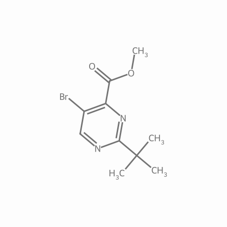 COC(=O)c1nc(C(C)(C)C)ncc1Br